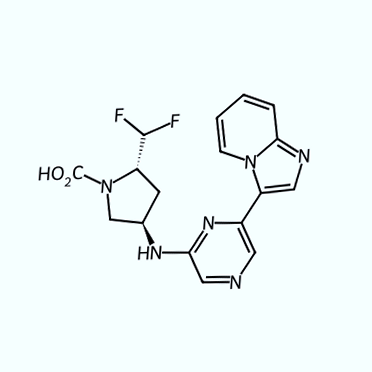 O=C(O)N1C[C@H](Nc2cncc(-c3cnc4ccccn34)n2)C[C@H]1C(F)F